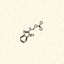 [O]C(=O)OCSc1nc2ccccc2[nH]1